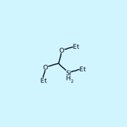 CCOC(OCC)[SiH2]CC